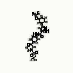 CC(C)(C)OC(=O)N1CCOC(c2ccc(NC(=O)c3cc(-c4cccc(OC(F)F)c4)n[nH]3)cc2)C1